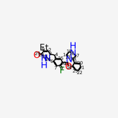 CCc1cc(Cc2ccc(F)c(C(=O)N3CCNCC3c3ccccc3)c2)n[nH]c1=O